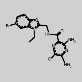 CCn1c(CNC(=O)c2nc(Cl)c(N)nc2N)nc2ccc(Br)cc21